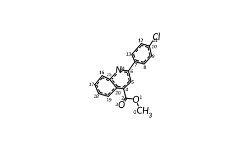 COC(=O)c1cc(-c2ccc(Cl)cc2)nc2ccccc12